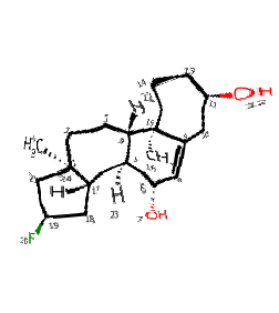 C[C@]12CC[C@H]3[C@@H]([C@@H](O)C=C4C[C@H](O)CC[C@@]43C)[C@@H]1C[C@@H](F)C2